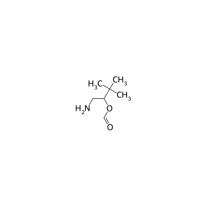 CC(C)(C)C(CN)OC=O